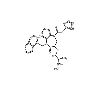 CNC(C)C(=O)NC1CN(C(=O)Cc2nnn[nH]2)c2ccccc2N(Cc2c(C)ccc3ccccc23)C1=O.Cl